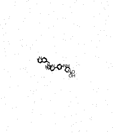 O=C(O)N1CCC(Nc2ccc(-c3ccc4nnn(Cc5ccc6ncccc6c5)c4n3)cc2)CC1